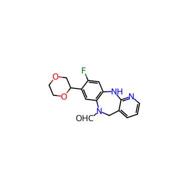 O=CN1Cc2cccnc2Nc2cc(F)c(C3COCCO3)cc21